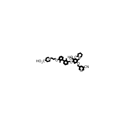 Cc1c(COc2cc(OCc3cncc(C#N)c3)c(CN3CCCCC3C(=O)O)cc2Cl)cccc1-c1cccc(OCCCN2CCC(C(=O)O)CC2)c1C